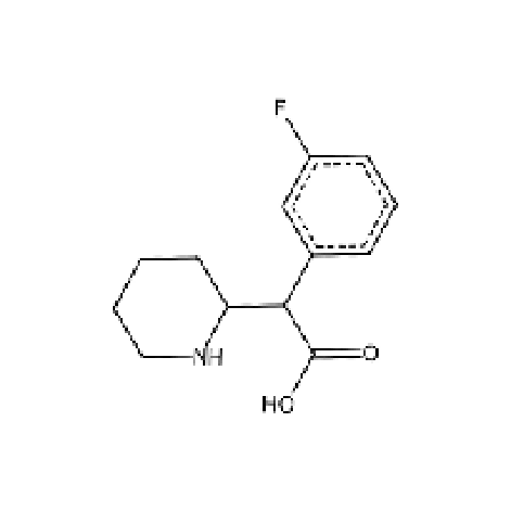 O=C(O)C(c1cccc(F)c1)C1CCCCN1